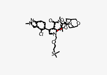 Cn1cc2c(Cl)c(-c3cn(COCC[Si](C)(C)C)c4nc(N5CC6COCC(C5)N6C(=O)OC(C)(C)C)n(C)c(=O)c34)ccc2n1